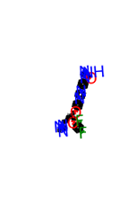 O=c1[nH]ncn1-c1ccc(N2CCN(c3ccc(OC[C@@H](CCCn4cncn4)COc4ccc(F)cc4F)cc3)CC2)cc1